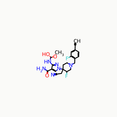 C#Cc1ccc(CN2CCC(CC#N)(n3cc(C(N)=O)c(NC(O)OC)n3)C(F)C2)c(F)c1